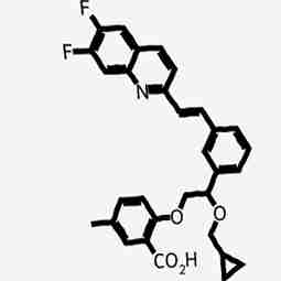 Cc1ccc(OCC(OCC2CC2)c2cccc(/C=C/c3ccc4cc(F)c(F)cc4n3)c2)c(C(=O)O)c1